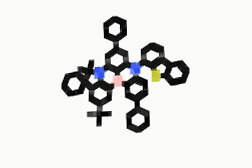 CC(C)(C)C1CC2=C3C(C1)C1(CCCCC1)C(C)(C)N3C1CC(C3C=CCCC3)CC3C1B2C1CC(C2CCCCC2)=CC=C1N3C1CC=CC2=C1SC1C=CC=CC21